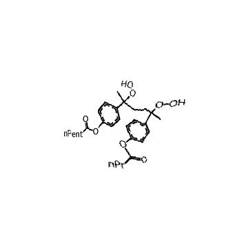 CCCCCC(=O)Oc1ccc(C(C)(CCC(C)(OO)c2ccc(OC(=O)CCC)cc2)OO)cc1